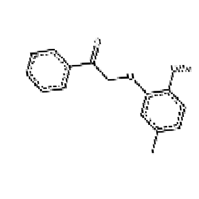 COc1ccc(C)cc1OCC(=O)c1ccccc1